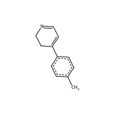 Cc1ccc(C2=CC=NCC2)cc1